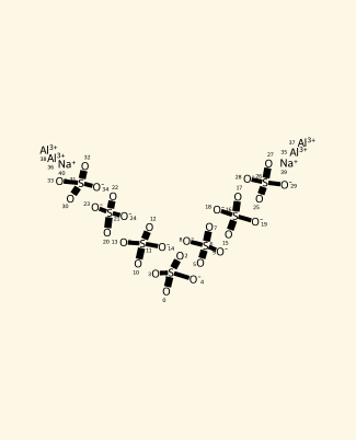 O=S(=O)([O-])[O-].O=S(=O)([O-])[O-].O=S(=O)([O-])[O-].O=S(=O)([O-])[O-].O=S(=O)([O-])[O-].O=S(=O)([O-])[O-].O=S(=O)([O-])[O-].[Al+3].[Al+3].[Al+3].[Al+3].[Na+].[Na+]